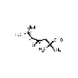 CC[C@H](C)[C@@H](C)[C@H]1O[C@@H]1CC(C)(C)C=O